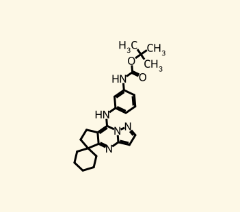 CC(C)(C)OC(=O)Nc1cccc(Nc2c3c(nc4ccnn24)C2(CCCCC2)CC3)c1